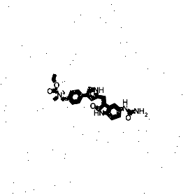 CCOC(=O)[N+](C)(C)Cc1ccc(-c2c[nH]c(C=C3C(=O)Nc4ccc(NC(N)=O)cc43)c2)cc1